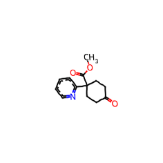 COC(=O)C1(c2ccccn2)CCC(=O)CC1